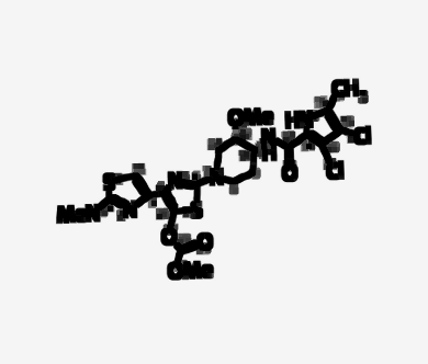 CNc1nc(-c2nc(N3CC[C@@H](NC(=O)c4[nH]c(C)c(Cl)c4Cl)[C@@H](OC)C3)sc2OC(=O)OC)cs1